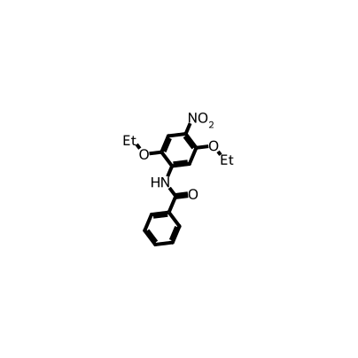 CCOc1cc([N+](=O)[O-])c(OCC)cc1NC(=O)c1ccccc1